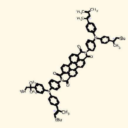 C=C(C)/C=C(\C)c1ccc(N(c2ccc(/C(C)=C/C(C)(C)C)cc2)c2ccc(N3C(=O)c4ccc5c6ccc7c8c(ccc(c9ccc(c4c59)C3=O)c86)C(=O)N(c3ccc(N(c4ccc(/C(C)=C/C(C)(C)C)cc4)c4ccc(C(C)(C)CC(C)(C)C)cc4)cc3)C7=O)cc2)cc1